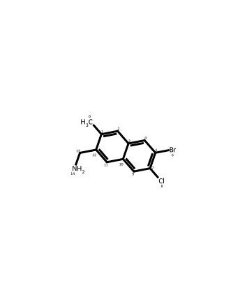 Cc1cc2cc(Br)c(Cl)cc2cc1CN